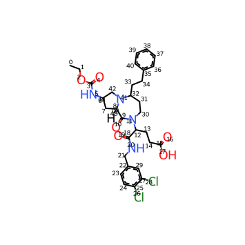 CCOC(=O)N[C@@H]1C[C@H]2C(=O)N(C(CCC(=O)O)C(=O)NCc3ccc(Cl)c(Cl)c3)CCC(CCc3ccccc3)N2C1